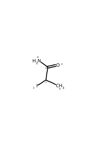 CC(I)C(N)=O